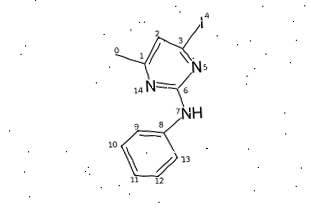 Cc1cc(I)nc(Nc2ccccc2)n1